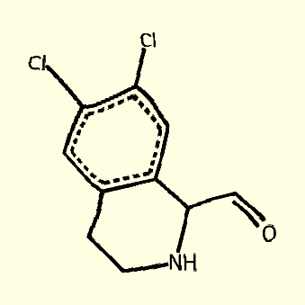 O=CC1NCCc2cc(Cl)c(Cl)cc21